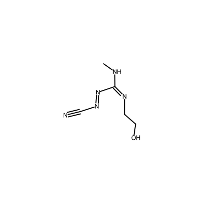 CNC(N=NC#N)=NCCO